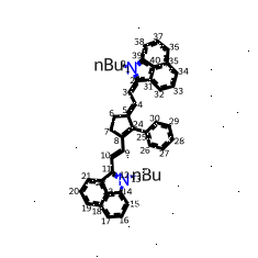 CCCCn1/c(=C/C=C2\CCC(/C=C/C3=[N+](CCCC)c4cccc5cccc3c45)=C2c2ccccc2)c2cccc3cccc1c32